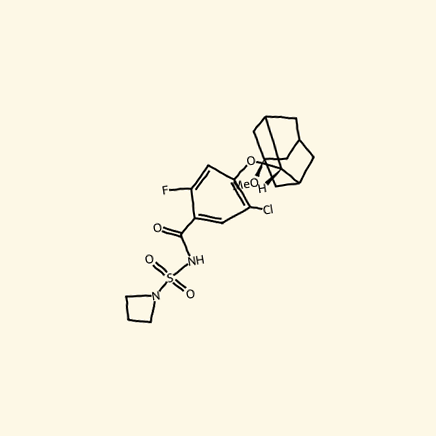 CO[C@]12CC3CC(C1)[C@@H](Oc1cc(F)c(C(=O)NS(=O)(=O)N4CCC4)cc1Cl)C(C3)C2